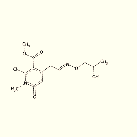 COC(=O)c1c(CC=NOCC(C)O)cc(=O)n(C)c1Cl